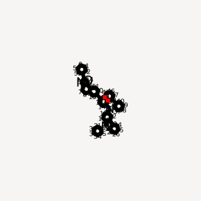 c1ccc(-c2nc3ccc4cc(-c5ccc(N(c6ccc7c(c6)c6ccccc6n7-c6ccccc6)c6ccccc6-c6ccccc6)cc5)ccc4c3o2)cc1